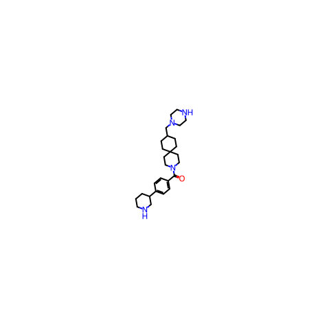 O=C(c1ccc(C2CCCNC2)cc1)N1CCC2(CCC(CN3CCNCC3)CC2)CC1